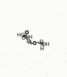 O=C(C=Cc1ccc(CN2CCC(CN[C@H](C(=O)O)c3ccccc3)CC2)cc1)NO